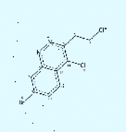 ClCCc1nnc2cc(Br)ccc2c1Cl